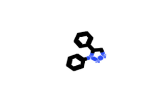 c1ccc(C2CN=NN2c2ccccc2)cc1